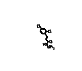 NNC(=O)/C=C/c1ccc(Cl)cc1Cl